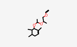 C=COCC(C)OC(C)OC1C(C)=CCC(C)C1C